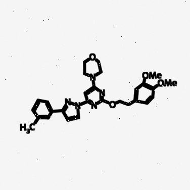 COc1ccc(CCOc2nc(N3CCOCC3)cc(-n3ccc(-c4cccc(C)c4)n3)n2)cc1OC